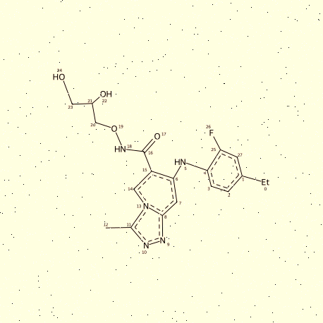 CCc1ccc(Nc2cc3nnc(C)n3cc2C(=O)NOCC(O)CO)c(F)c1